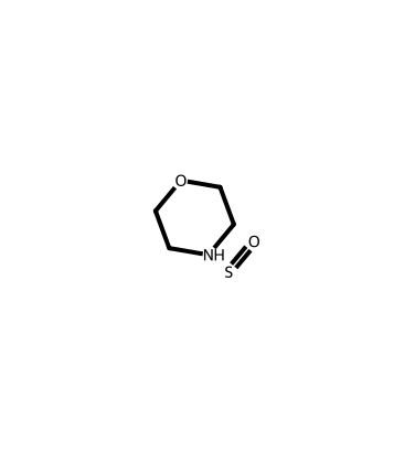 C1COCCN1.O=S